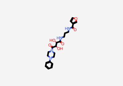 O=C(NCCCNC(=O)[C@H](O)[C@@H](O)C(=O)N1CCN(c2ccccc2)CC1)c1ccoc1